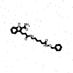 NC(=O)c1[nH]c2ccccc2c1C[CH]C(=O)NCCCCCC(=O)NOCc1ccccc1